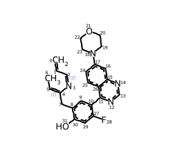 C=C/C=N\C(=C/C)Cc1cc(-c2ncnc3cc(N4CCOCC4)ccc23)c(F)cc1O